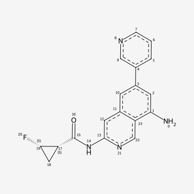 Nc1cc(-c2cccnc2)cc2cc(NC(=O)[C@@H]3C[C@@H]3F)ncc12